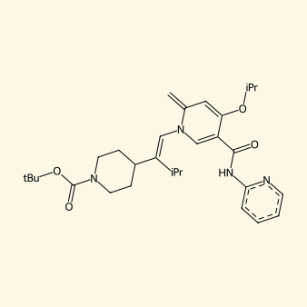 C=C1C=C(OC(C)C)C(C(=O)Nc2ccccn2)=CN1/C=C(\C(C)C)C1CCN(C(=O)OC(C)(C)C)CC1